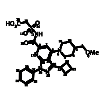 COCC1CCN(c2cc(C(=O)NS(=O)(=O)CC(=O)O)nc3c2c(C2CCC2)nn3-c2ccccc2)CC1